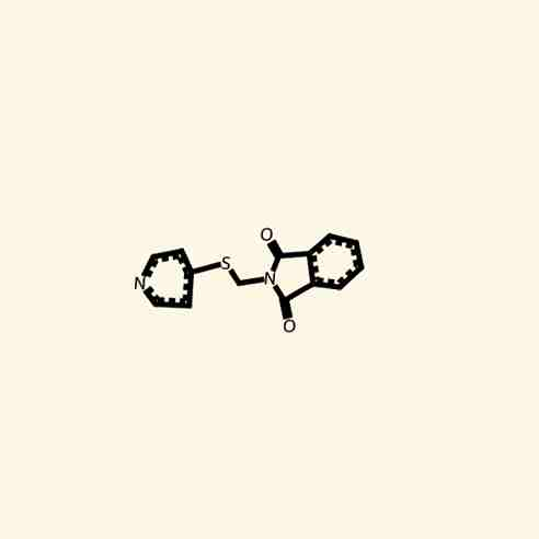 O=C1c2ccccc2C(=O)N1CSc1ccncc1